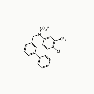 O=C(O)N(Cc1cccc(-c2cccnc2)c1)c1ccc(Cl)c(C(F)(F)F)c1